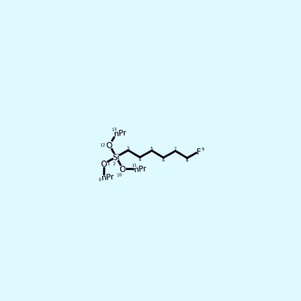 CCCO[Si](CCCCCCF)(OCCC)OCCC